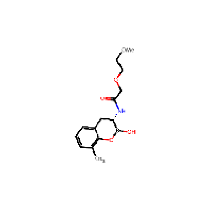 COCCOCC(=O)N[C@H]1Cc2cccc(C)c2OB1O